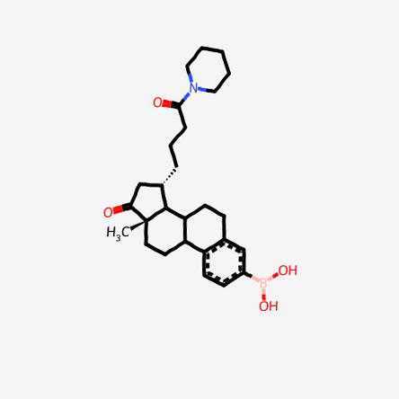 C[C@]12CCC3c4ccc(B(O)O)cc4CCC3C1[C@@H](CCCC(=O)N1CCCCC1)CC2=O